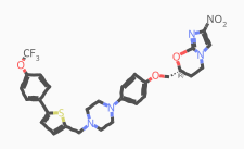 O=[N+]([O-])c1cn2c(n1)O[C@@H](COc1ccc(N3CCN(Cc4ccc(-c5ccc(OC(F)(F)F)cc5)s4)CC3)cc1)CC2